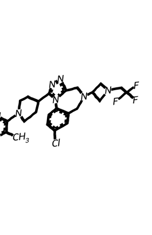 Cc1nccnc1N1CCC(c2nnc3n2-c2ccc(Cl)cc2CN(C2CN(CC(F)(F)F)C2)C3)CC1